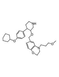 COCCCN1CCOc2ccc(COC3CNCCC3c3ccc(OC4CCCCC4)cc3)cc21